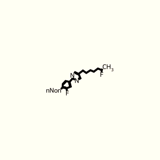 CCCCCCCCCc1ccc(-c2ncc(CCCCCC(C)F)cn2)cc1F